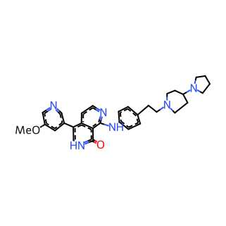 COc1cncc(-c2c[nH]c(=O)c3c(Nc4ccc(CCN5CCC(N6CCCC6)CC5)cc4)nccc23)c1